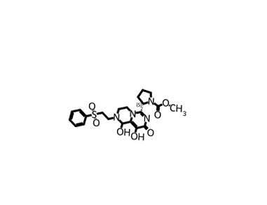 COC(=O)N1CCC[C@H]1c1nc(=O)c(O)c2n1CCN(CCS(=O)(=O)c1ccccc1)C2O